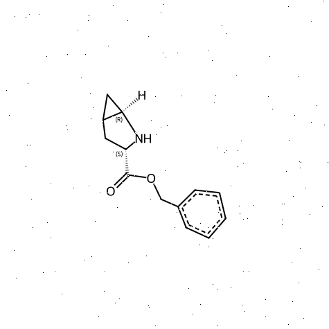 O=C(OCc1ccccc1)[C@@H]1CC2C[C@H]2N1